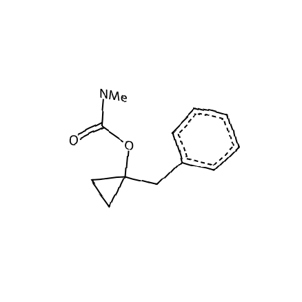 CNC(=O)OC1(Cc2ccccc2)CC1